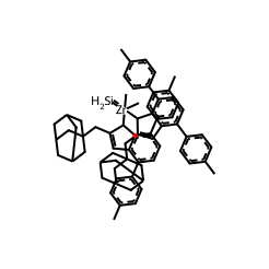 Cc1ccc(-c2ccc(-c3ccc(C)cc3)c3c2C=C(CC24CC5CC(CC(C5)C2)C4)[CH]3[Zr]([CH3])([CH3])(=[SiH2])[CH]2C(CC34CC5CC(CC(C5)C3)C4)=Cc3c(-c4ccc(C)cc4)ccc(-c4ccc(C)cc4)c32)cc1